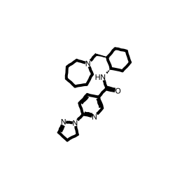 O=C(N[C@H]1CCCC[C@@H]1CN1CCCCCC1)c1ccc(N2CCC=N2)nc1